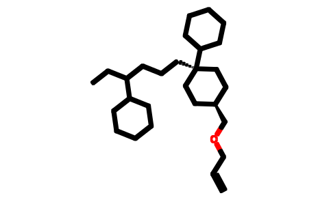 C=CCOC[C@H]1CC[C@@](CCCC(CC)C2CCCCC2)(C2CCCCC2)CC1